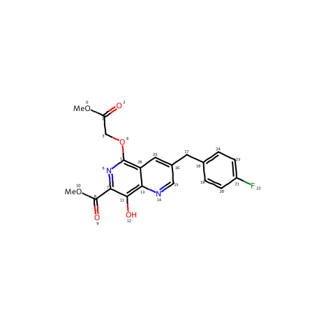 COC(=O)COc1nc(C(=O)OC)c(O)c2ncc(Cc3ccc(F)cc3)cc12